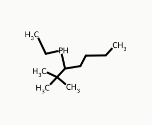 CCCCC(PCC)C(C)(C)C